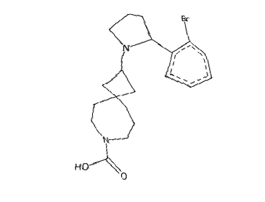 O=C(O)N1CCC2(CC1)CC(N1CCCC1c1ccccc1Br)C2